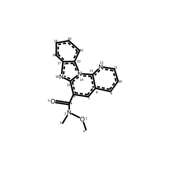 CON(C)C(=O)c1cc2cccnc2n2c1nc1ccccc12